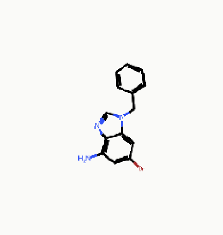 Nc1cc(Br)cc2c1ncn2Cc1ccccc1